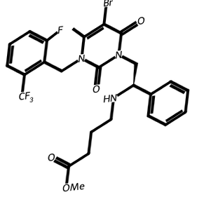 COC(=O)CCCN[C@@H](Cn1c(=O)c(Br)c(C)n(Cc2c(F)cccc2C(F)(F)F)c1=O)c1ccccc1